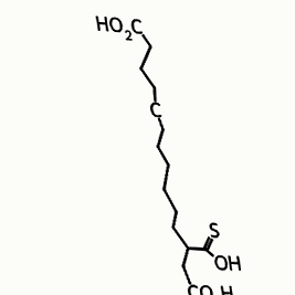 O=C(O)CCCCCCCCCCC(CC(=O)O)C(O)=S